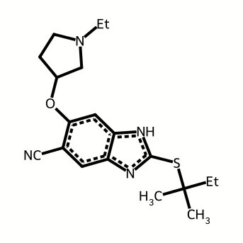 CCN1CCC(Oc2cc3[nH]c(SC(C)(C)CC)nc3cc2C#N)C1